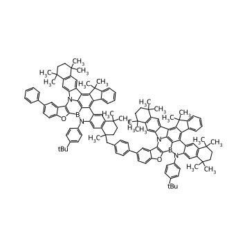 CC(C)(C)c1ccc(N2B3c4oc5ccc(-c6ccc(CC7(C)CCC(C)(C)c8cc9c(cc87)N(c7ccc(C(C)(C)C)cc7)B7c8oc%10ccc(-c%11ccccc%11)cc%10c8-n8c%10cc%11c(cc%10c%10c%12c(c-9c7c%108)-c7ccccc7C%12(C)C)C(C)(C)CCC%11(C)C)cc6)cc5c4-n4c5cc6c(cc5c5c7c(c(c3c54)-c3cc4c(cc32)C(C)(C)CCC4(C)C)-c2ccccc2C7(C)C)C(C)(C)CCC6(C)C)cc1